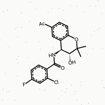 CC(=O)c1ccc2c(c1)[C@H](NC(=O)c1ccc(F)cc1Cl)[C@@H](O)C(C)(C)O2